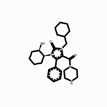 O=C(c1c(-c2ccccc2)n([C@H]2CCCC[C@H]2O)c(=O)n1CC1CCCCC1)N1CCNCC1